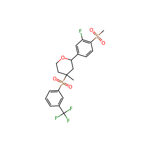 CC1(S(=O)(=O)c2cccc(C(F)(F)F)c2)CCOC(c2ccc(S(C)(=O)=O)c(F)c2)C1